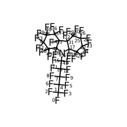 FC(F)(F)C(F)(F)C(F)(F)C(F)(F)C(F)(F)N1C2(F)C(F)(F)C(F)(F)C(F)(F)C(F)(F)C2(F)C2(F)C(F)(F)C(F)(F)C(F)(F)C(F)(F)C12F